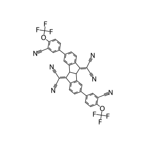 N#CC(C#N)=C1c2ccc(-c3ccc(OC(F)(F)F)c(C#N)c3)cc2C2C(=C(C#N)C#N)c3ccc(-c4ccc(OC(F)(F)F)c(C#N)c4)cc3C12